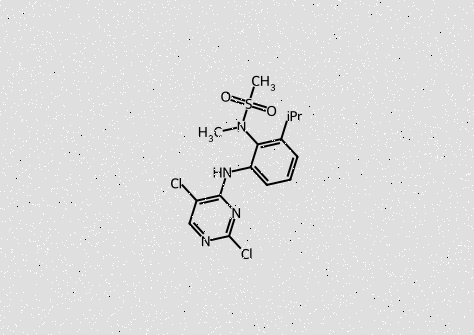 CC(C)c1cccc(Nc2nc(Cl)ncc2Cl)c1N(C)S(C)(=O)=O